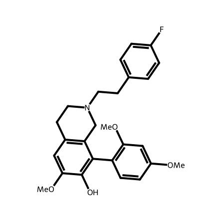 COc1ccc(-c2c(O)c(OC)cc3c2CN(CCc2ccc(F)cc2)CC3)c(OC)c1